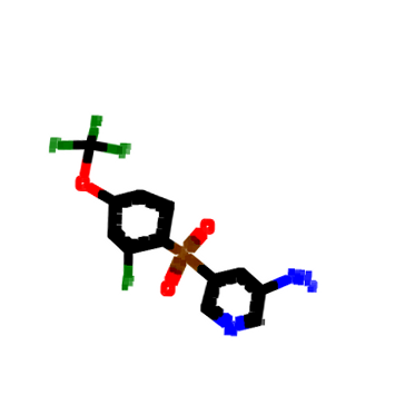 Nc1[c]ncc(S(=O)(=O)c2ccc(OC(F)(F)F)cc2F)c1